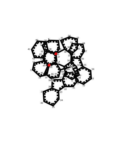 c1ccc(-n2c3ccccc3c3cccc(-n4c5ccccc5c5ccccc54)c32)c(-c2ccccc2-n2c3ccccc3c3cccc(-n4c5ccccc5c5ccccc54)c32)c1